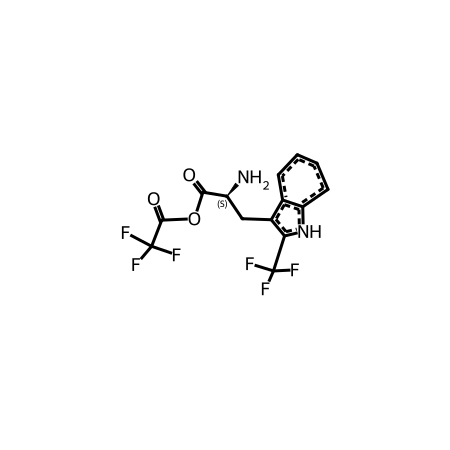 N[C@@H](Cc1c(C(F)(F)F)[nH]c2ccccc12)C(=O)OC(=O)C(F)(F)F